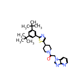 CC(C)(C)c1cc(-c2ncc(C3CCN(C(=O)Cn4cnc5ncccc54)CC3)s2)cc(C(C)(C)C)c1